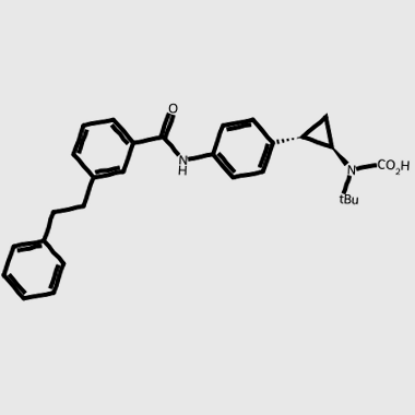 CC(C)(C)N(C(=O)O)[C@@H]1C[C@H]1c1ccc(NC(=O)c2cccc(CCc3ccccc3)c2)cc1